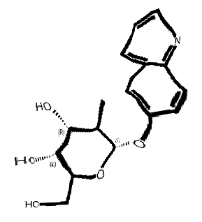 CC1[C@H](Oc2ccc3ncccc3c2)OC(CO)[C@H](O)[C@@H]1O